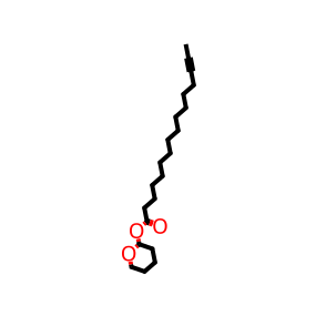 CC#CCCCCCCCCCCCCC(=O)OC1CCCCO1